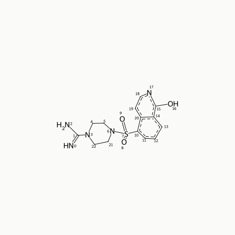 N=C(N)N1CCN(S(=O)(=O)c2cccc3c(O)nccc23)CC1